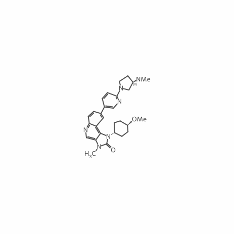 CN[C@@H]1CCN(c2ccc(-c3ccc4ncc5c(c4c3)n([C@H]3CC[C@H](OC)CC3)c(=O)n5C)cn2)C1